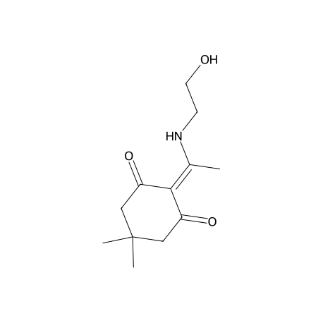 CC(NCCO)=C1C(=O)CC(C)(C)CC1=O